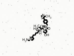 Cc1ncsc1-c1ccc(CNC(=O)[C@@H]2C[C@@H](O)CN2C(=O)[C@@H](NC(=O)CCCCc2ccn(CN)n2)C(C)(C)C)cc1